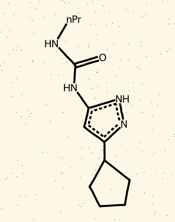 CCCNC(=O)Nc1cc(C2CCCC2)n[nH]1